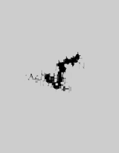 CCS(=O)(=O)N1CC(CC#N)(n2cc(-c3ncnc4c3ccn4C(=O)NNC(=O)C3OC(OC(C(O)C(CO)OC)C(NC(C)=O)C(C)(C)C)C(O)C(O)C3OC(C)C)cn2)C1